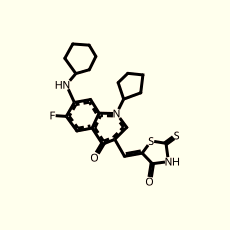 O=C1NC(=S)S/C1=C\c1cn(C2CCCC2)c2cc(NC3CCCCC3)c(F)cc2c1=O